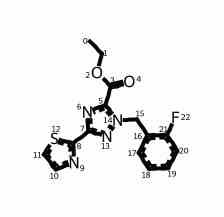 CCOC(=O)c1nc(-c2nccs2)nn1Cc1ccccc1F